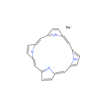 C1=Cc2cc3ccc(cc4nc(cc5ccc(cc1n2)[n-]5)C=C4)[nH]3.[Na+]